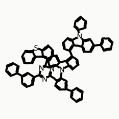 c1ccc(-c2cccc(-c3nc(-c4ccc(-c5ccccc5)cc4-n4c5ccccc5c5c(-c6cccc7c6c6ccc(-c8ccccc8)cc6n7-c6ccccc6)cccc54)nc(-c4cccc5sc6ccccc6c45)n3)c2)cc1